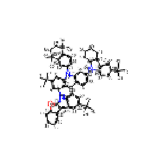 CC(C)(C)c1cc2c3c(c1)-n1c4oc5ccccc5c4c4cc(C(C)(C)C)cc(c41)B3c1ccc(N3c4ccc(C(C)(C)C)cc4C4(C)CCCC[C@]34C)cc1N2c1ccc2c(c1)C(C)(C)CCC2(C)C